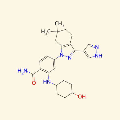 CC1(C)CCc2c(-c3cn[nH]c3)nn(-c3ccc(C(N)=O)c(NC4CCC(O)CC4)c3)c2C1